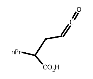 CCCC(CC=C=O)C(=O)O